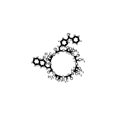 CC1OC(=O)C(C)(C)OC(=O)C(Cc2ccc3ccccc3c2)NC(=O)C(C)(C)OC(=O)C(Cc2ccc(C(=O)c3ccccc3)cc2)OC(=O)C(C)(C)OC(=O)C(C)OC(=O)C(C)(C)NC1=O